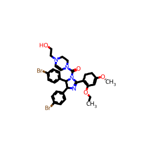 CCOC1=C(C2=NC(c3ccc(Br)cc3)C(c3ccc(Br)cc3)N2C(=O)N2C=CN(CCO)CC2)CCC(OC)=C1